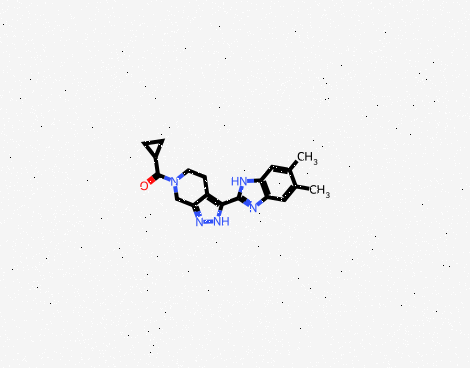 Cc1cc2nc(-c3[nH]nc4c3CCN(C(=O)C3CC3)C4)[nH]c2cc1C